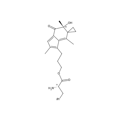 CC1=C(CCCOC(=O)[C@@H](N)CC(C)C)C2=C(C)C3(CC3)[C@@](C)(O)C(=O)C2=C1